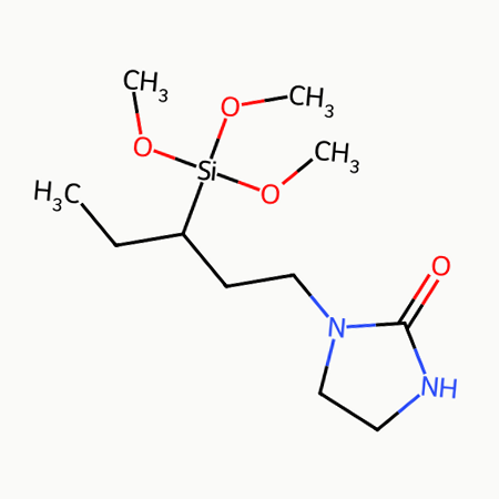 CCC(CCN1CCNC1=O)[Si](OC)(OC)OC